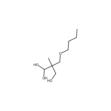 CCCCOCC(C)(CO)C(O)O